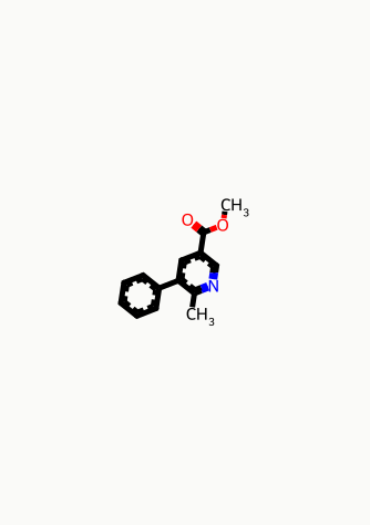 COC(=O)c1cnc(C)c(-c2ccccc2)c1